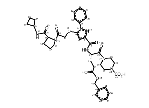 O=C(CC[C@H](NC(=O)c1cc(OCC(=O)N2CCC[C@H]2C(=O)NC2CCC2)n(-c2ccccc2)n1)C(=O)N1CCN(C(=O)O)CC1)OCc1ccccc1